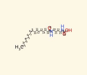 CCCCCCCC/C=C\CCCCCCCC(=O)NCCCCNC(=O)O